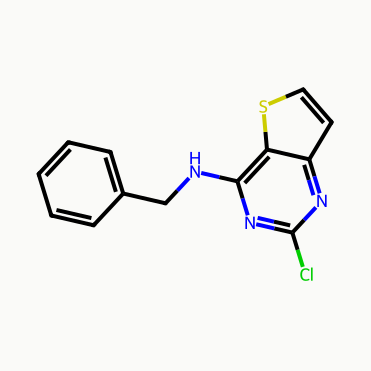 Clc1nc(NCc2ccccc2)c2sccc2n1